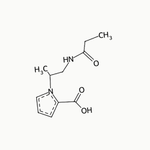 CCC(=O)NCC(C)n1cccc1C(=O)O